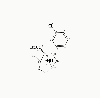 CCOC(=O)[C@H]1[C@H](c2cccc(Cl)c2)CC2CCC1(C)N2